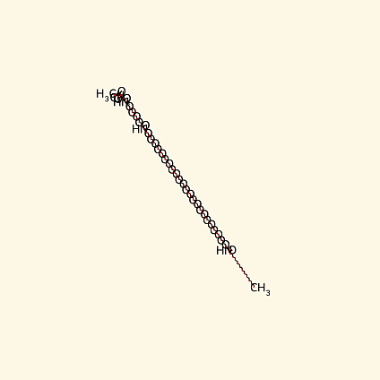 CCCCCCCCCCCCCCCCCCCCCC(=O)NCCOCCOCCOCCOCCOCCOCCOCCOCCOCCOCCOCCOCCOCCOCCOCCOCCOCCOCCOCCOCCOCCOCCOCCNC(=O)CCOCCOCCOCCOCCNC(=O)CCN1C(=O)CC(C(C)C)C1=O